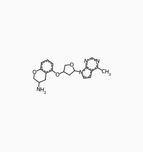 Cc1ncnc2c1ccn2C1CC(Oc2cccc3c2CC(N)CO3)CO1